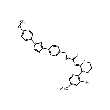 COc1ccc(N2CCCS/C2=N\C(=O)NCc2ccc(-c3ncn(-c4ccc(OC(F)(F)F)cc4)n3)cc2)c(C(C)C)c1